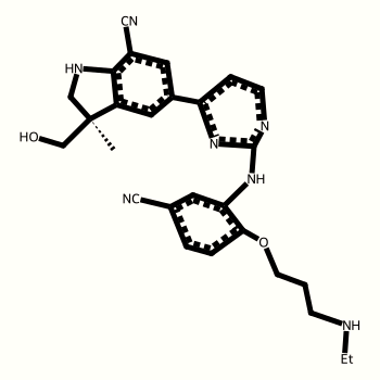 CCNCCCOc1ccc(C#N)cc1Nc1nccc(-c2cc(C#N)c3c(c2)[C@@](C)(CO)CN3)n1